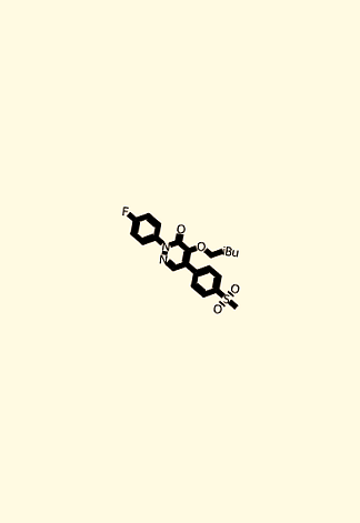 CCC(C)COc1c(-c2ccc(S(C)(=O)=O)cc2)cnn(-c2ccc(F)cc2)c1=O